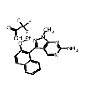 CCOc1ccc2ccccc2c1-c1nn(C)c2nc(N)ncc12.O=C(O)C(F)(F)F